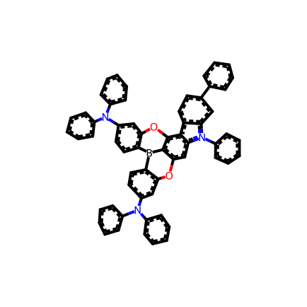 c1ccc(-c2ccc3c4c5c6c(cc4n(-c4ccccc4)c3c2)Oc2cc(N(c3ccccc3)c3ccccc3)ccc2B6c2ccc(N(c3ccccc3)c3ccccc3)cc2O5)cc1